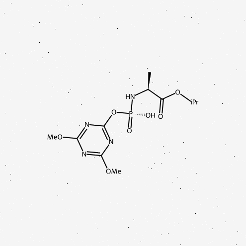 COc1nc(OC)nc(O[P@@](=O)(O)N[C@@H](C)C(=O)OC(C)C)n1